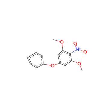 COc1cc(Oc2ccccc2)cc(OC)c1[N+](=O)[O-]